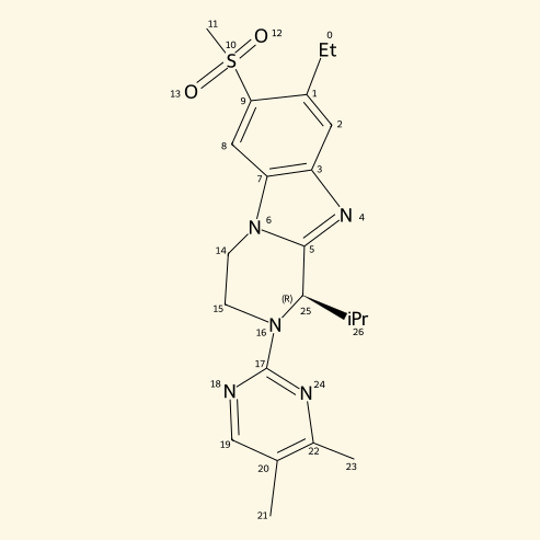 CCc1cc2nc3n(c2cc1S(C)(=O)=O)CCN(c1ncc(C)c(C)n1)[C@@H]3C(C)C